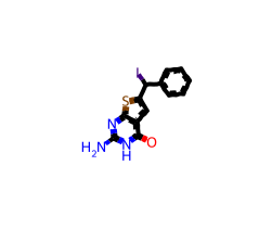 Nc1nc2sc(C(I)c3ccccc3)cc2c(=O)[nH]1